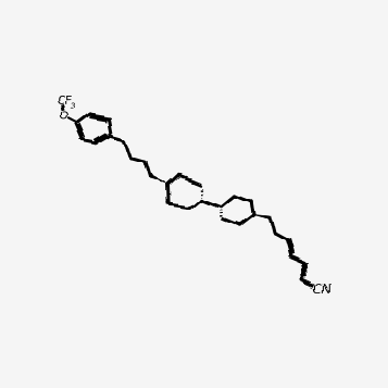 N#CC=CC=CCC[C@H]1CC[C@H]([C@H]2CC[C@H](CCCCc3ccc(OC(F)(F)F)cc3)CC2)CC1